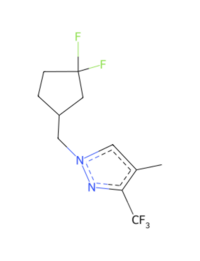 Cc1cn(CC2CCC(F)(F)C2)nc1C(F)(F)F